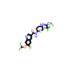 C[C@H](NC1CCC(NC(=O)c2cnc3cc(OC(F)F)c(F)cc3c2)CC1)C(F)(F)F